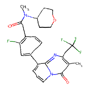 Cc1c(C(F)(F)F)nc2c(-c3ccc(C(=O)N(C)C4CCOCC4)c(F)c3)cccn2c1=O